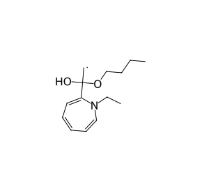 [CH2]C(O)(OCCCC)C1=CC=CC=CN1CC